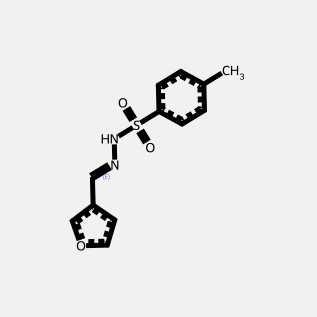 Cc1ccc(S(=O)(=O)N/N=C/c2ccoc2)cc1